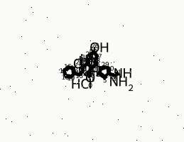 Cl.N=C(N)c1ccc([C@H]2[C@@H]3C(=O)N(Cc4ccccc4)C(=O)[C@@H]3[C@@H]3C[C@@H](O)CN32)cc1